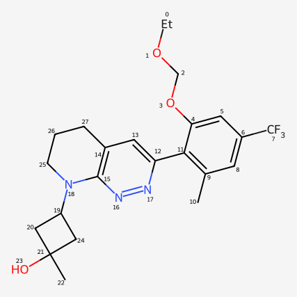 CCOCOc1cc(C(F)(F)F)cc(C)c1-c1cc2c(nn1)N(C1CC(C)(O)C1)CCC2